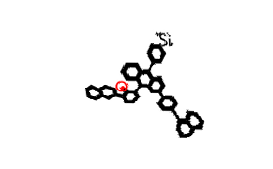 C[Si](C)(C)c1ccc(-c2c3ccccc3c(-c3cccc4c3oc3cc5ccccc5cc34)c3cc(-c4ccc(-c5cccc6ccccc56)cc4)ccc23)cc1